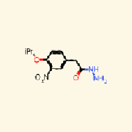 CC(C)Oc1ccc(CC(=O)NN)cc1[N+](=O)[O-]